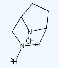 [2H]N1CC2CCC(C1)N2C